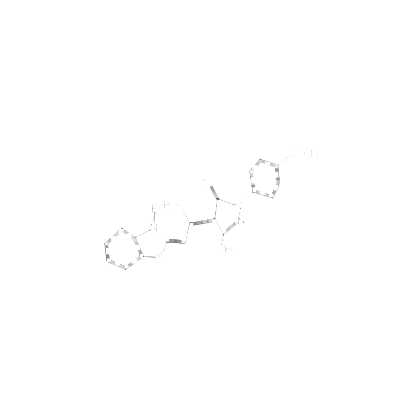 CCN1C(=CC(C)=C2C(=O)N(c3ccc(S(=O)(=O)O)cc3)N=C2C)Sc2ccccc21